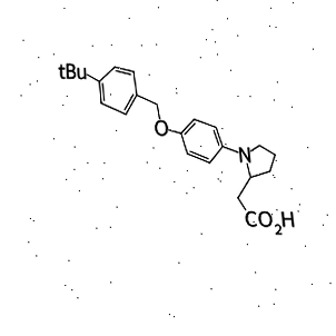 CC(C)(C)c1ccc(COc2ccc(N3CCCC3CC(=O)O)cc2)cc1